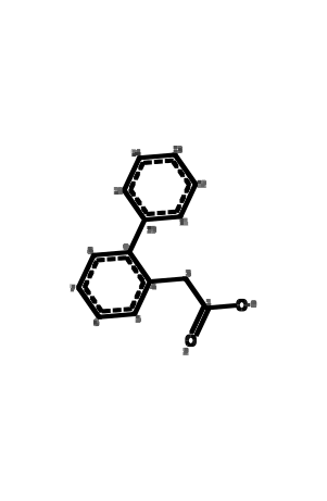 [O]C(=O)Cc1ccccc1-c1ccccc1